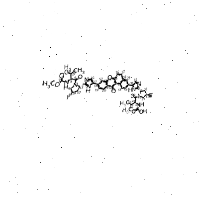 COC(=O)N[C@H](C(=O)N1C[C@H](F)C[C@H]1c1ncc(-c2ccc3c(=O)c4c(ccc5cc(-c6cnc([C@@H]7C[C@@H](F)CN7C(=O)[C@@H](NC(=O)O)C(C)C)[nH]6)ccc54)oc3c2)[nH]1)C(C)C